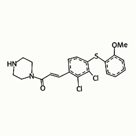 COc1ccccc1Sc1ccc(C=CC(=O)N2CCNCC2)c(Cl)c1Cl